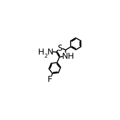 NC1=C(c2ccc(F)cc2)NC(c2ccccc2)S1